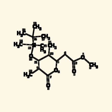 COC(=O)CC1OC(=O)C(C)C(O[Si](C)(C)C(C)(C)C)C1C